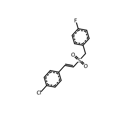 O=S(=O)(C=Cc1ccc(Cl)cc1)Cc1ccc(F)cc1